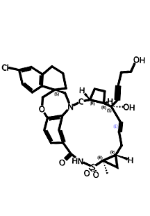 C[C@@]12C[C@H]1C/C=C/[C@](O)(C#CCCO)[C@@H]1CC[C@H]1CN1C[C@@]3(CCCc4cc(Cl)ccc43)COc3ccc(cc31)C(=O)NS2(=O)=O